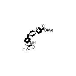 COC(=O)c1ccc(N2CCN(Cc3ccc4c(c3)NC(=O)C(C)O4)CC2)nc1